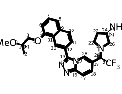 CO[C@H](C)COc1cccc2ccc(-c3nnc4ccc([C@@H](N5CC[C@H](N)C5)C(F)(F)F)cn34)cc12